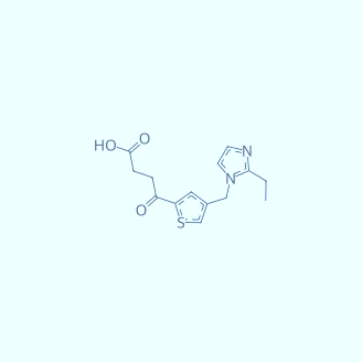 CCc1nccn1Cc1csc(C(=O)CCC(=O)O)c1